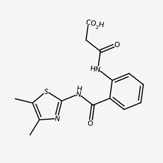 Cc1nc(NC(=O)c2ccccc2NC(=O)CC(=O)O)sc1C